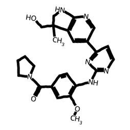 COc1cc(C(=O)N2CCCC2)ccc1Nc1nccc(-c2cnc3c(c2)C(C)(CO)CN3)n1